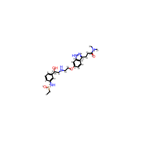 CC[S+]([O-])Nc1cccc([C@@H](O)CNCCOc2ccc3c(CCC(=O)N(C)C)n[nH]c3c2)c1